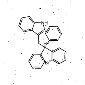 Brc1ccccc1[PH](Cc1n[nH]c2ccccc12)(c1ccccc1)c1ccccc1